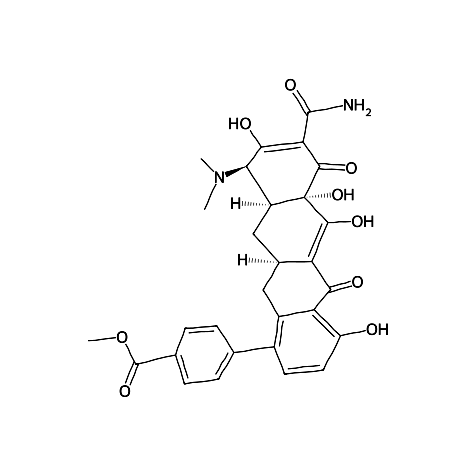 COC(=O)c1ccc(-c2ccc(O)c3c2C[C@H]2C[C@H]4[C@@H](N(C)C)C(O)=C(C(N)=O)C(=O)[C@@]4(O)C(O)=C2C3=O)cc1